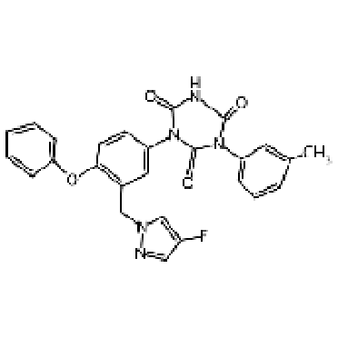 Cc1cccc(-n2c(=O)[nH]c(=O)n(-c3ccc(Oc4ccccc4)c(Cn4cc(F)cn4)c3)c2=O)c1